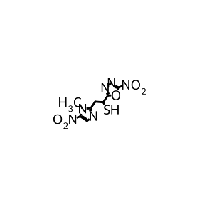 Cn1c([N+](=O)[O-])cnc1CC(S)c1nnc([N+](=O)[O-])o1